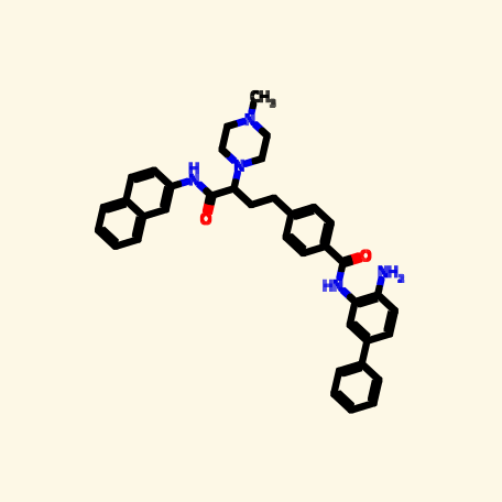 CN1CCN(C(CCc2ccc(C(=O)Nc3cc(-c4ccccc4)ccc3N)cc2)C(=O)Nc2ccc3ccccc3c2)CC1